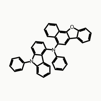 c1ccc(N(c2cc3c4ccccc4oc3c3ccccc23)c2cccc3c2c2ccccc2n3-c2ccccc2)cc1